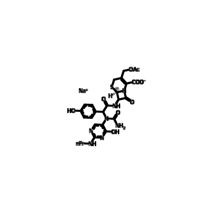 CCCNc1ncc(N(C(N)=O)C(C(=O)NC2C(=O)N3C(C(=O)[O-])=C(COC(C)=O)CS[C@H]23)c2ccc(O)cc2)c(O)n1.[Na+]